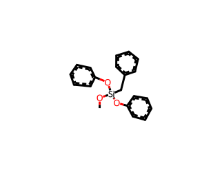 CO[Si](Cc1ccccc1)(Oc1ccccc1)Oc1ccccc1